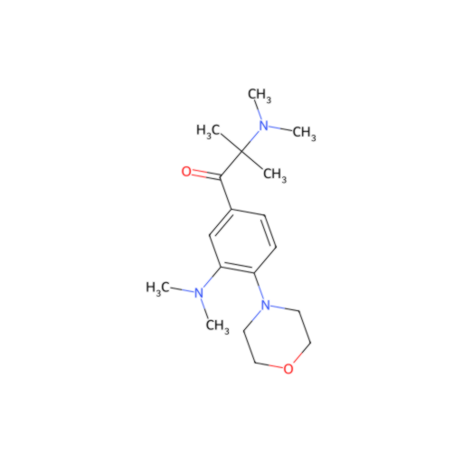 CN(C)c1cc(C(=O)C(C)(C)N(C)C)ccc1N1CCOCC1